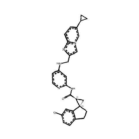 O=C(Nc1cc(NCc2cn3cc(C4CC4)ccc3n2)ccn1)[C@H]1C[C@@]12CCc1ccc(Cl)cc12